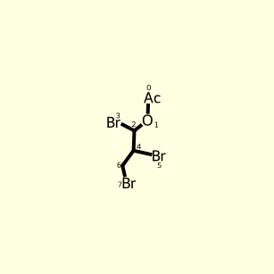 CC(=O)OC(Br)C(Br)CBr